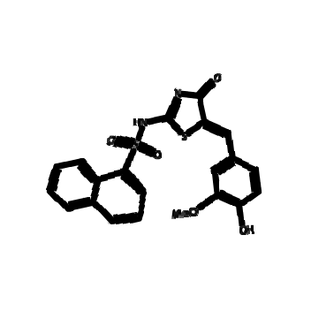 COc1cc(/C=C2\SC(NS(=O)(=O)c3cccc4ccccc34)=NC2=O)ccc1O